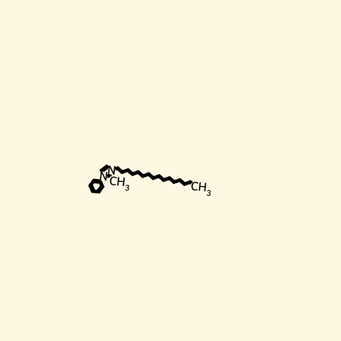 CCCCCCCCCCCCCCCCN1C=CN(c2ccccc2)C1C